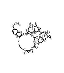 CC[C@@H]1[C@@H]2CN(C(=O)[C@H](C3CCCCC3)NC(=O)O[C@@H]3C[C@H]3CCCCCc3nc4ccc(OC)cc4nc3O2)[C@@H]1C(=O)N[C@]1(C(=O)NS(=O)(=O)C2(C)CC2)CC1C(F)F